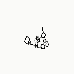 Ic1cccc(-c2cc(N(CCCN3C=CC=CC=C3)Cc3ccc4c(c3)OCO4)on2)c1